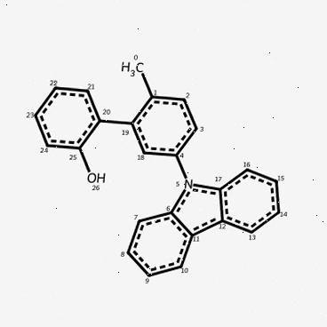 Cc1ccc(-n2c3ccccc3c3ccccc32)cc1-c1ccccc1O